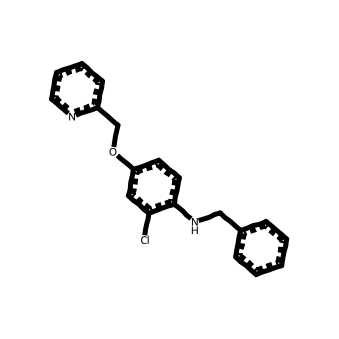 Clc1cc(OCc2ccccn2)ccc1NCc1ccccc1